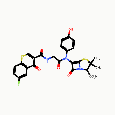 CC1(C)SC2=C(N(C(=O)CNC(=O)c3csc4ccc(F)cc4c3=O)c3ccc(O)cc3)C(=O)N2C1C(=O)O